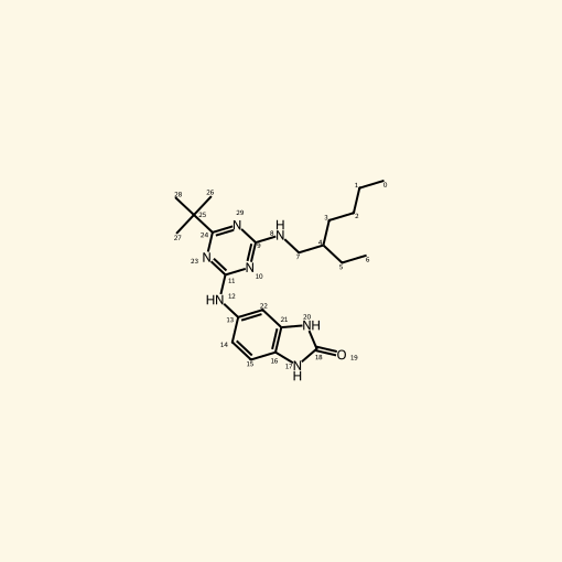 CCCCC(CC)CNc1nc(Nc2ccc3[nH]c(=O)[nH]c3c2)nc(C(C)(C)C)n1